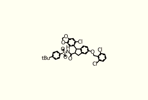 CC(C)(C)c1ccc(S(=O)(=O)NC(=O)C2Cc3cc(OCc4c(Cl)cccc4Cl)ccc3C2c2cc3c(cc2Cl)OCO3)cc1